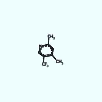 Cc1cc(C)c(C(F)(F)F)cn1